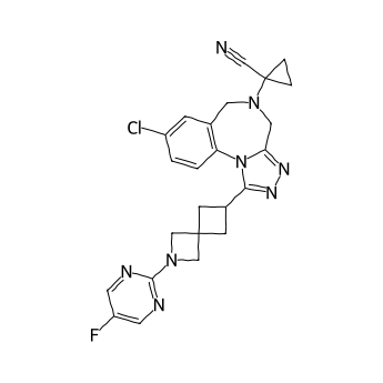 N#CC1(N2Cc3cc(Cl)ccc3-n3c(nnc3C3CC4(C3)CN(c3ncc(F)cn3)C4)C2)CC1